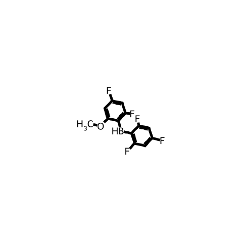 COc1cc(F)cc(F)c1Bc1c(F)cc(F)cc1F